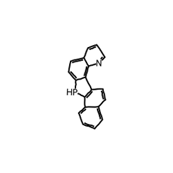 c1ccc2c(c1)ccc1c2[pH]c2ccc3cccnc3c21